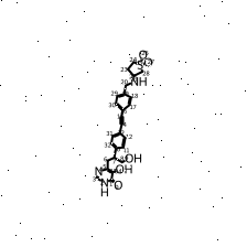 O=c1[nH]cnc(CC(CO)c2ccc(C#Cc3ccc(CN[C@@H]4CCS(=O)(=O)C4)cc3)cc2)c1O